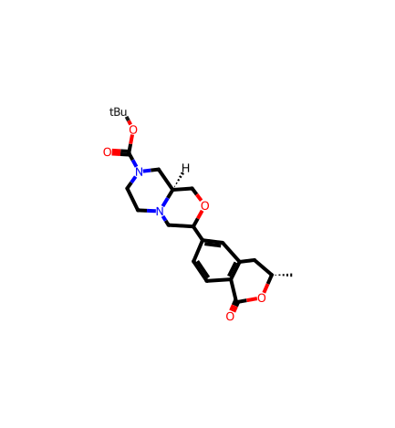 C[C@H]1Cc2cc(C3CN4CCN(C(=O)OC(C)(C)C)C[C@H]4CO3)ccc2C(=O)O1